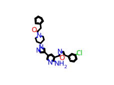 Nc1ncc(-c2cnn(C3CCN(C(=O)Cc4ccccc4)CC3)c2)cc1-c1ncc(-c2cccc(Cl)c2)o1